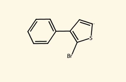 Brc1s[c]cc1-c1ccccc1